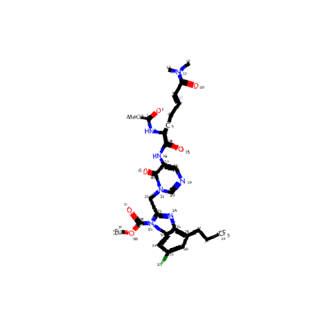 COC(=O)NC(CC/C=C/C(=O)N(C)C)C(=O)Nc1cncn(Cc2nc3c(CCC(F)(F)F)cc(F)cc3n2C(=O)OC(C)(C)C)c1=O